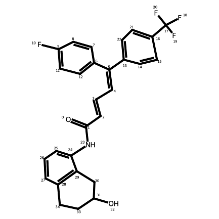 O=C(C=CC=C(c1ccc(F)cc1)c1ccc(C(F)(F)F)cc1)Nc1cccc2c1CC(O)CC2